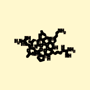 CC(=O)N[C@@H](CCCNC(=N)N)C(=O)N1CCC[C@H]1C(=O)N[C@@H](CCCNC(=N)N)C(=O)N[C@@H](CCCCN)C(=O)N[C@@H](CC(C)C)C(=O)N[C@@H](CC(C)C)C(N)=O